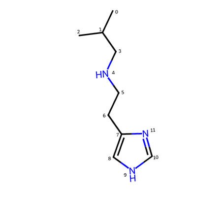 CC(C)CNCCc1c[nH]cn1